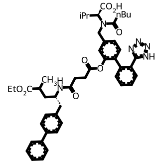 CCCCC(=O)N(Cc1ccc(-c2ccccc2-c2nnn[nH]2)c(OC(=O)CCC(=O)N[C@H](Cc2ccc(-c3ccccc3)cc2)CC(C)C(=O)OCC)c1)[C@H](C(=O)O)C(C)C